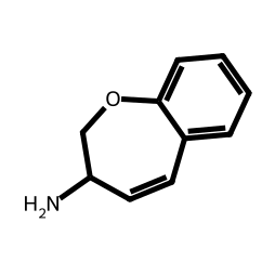 NC1C=Cc2ccccc2OC1